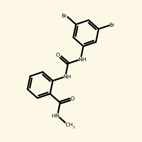 CNC(=O)c1ccccc1NC(=O)Nc1cc(Br)cc(Br)c1